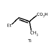 CCC=C(C)C(=O)O.[Ti]